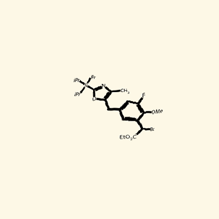 CCOC(=O)C(Br)c1cc(Cc2oc([Si](C(C)C)(C(C)C)C(C)C)nc2C)cc(F)c1OC